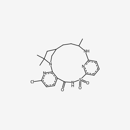 CC1CCC2CN(c3nc(Cl)ccc3C(=O)NS(=O)(=O)c3cccc(n3)N1)C(C)(C)C2